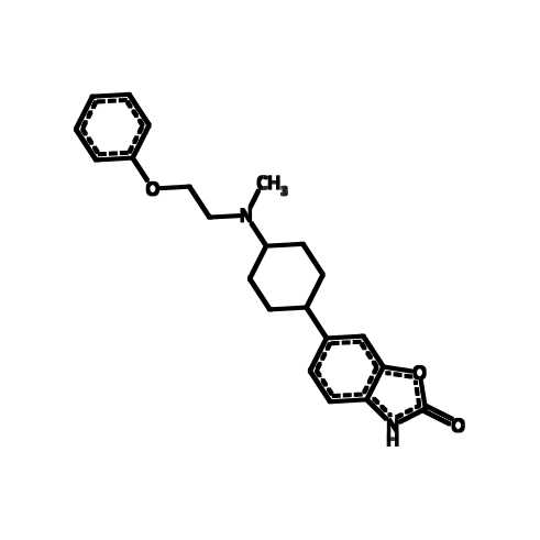 CN(CCOc1ccccc1)C1CCC(c2ccc3[nH]c(=O)oc3c2)CC1